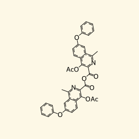 CC(=O)Oc1c(C(=O)OC(=O)c2nc(C)c3cc(Oc4ccccc4)ccc3c2OC(C)=O)nc(C)c2cc(Oc3ccccc3)ccc12